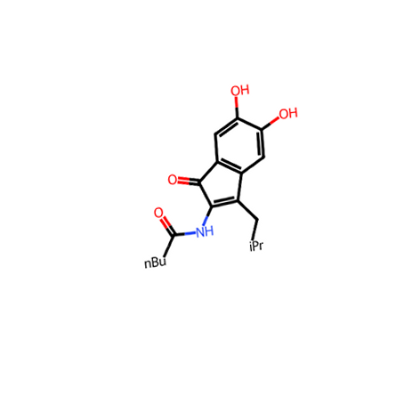 CCCCC(=O)NC1=C(CC(C)C)c2cc(O)c(O)cc2C1=O